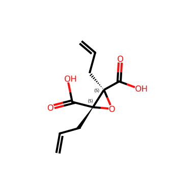 C=CC[C@]1(C(=O)O)O[C@]1(CC=C)C(=O)O